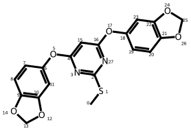 CSc1nc(Oc2ccc3c(c2)OCO3)cc(Oc2ccc3c(c2)OCO3)n1